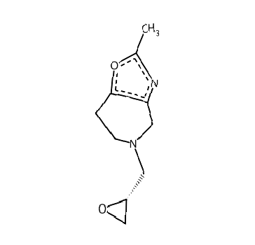 Cc1nc2c(o1)CCN(C[C@@H]1CO1)C2